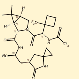 CC1(C)[C@@H]2[C@@H](C(=O)N[C@H](C#N)C[C@@H]3CC4(CC4)NC3=O)N(C(=O)[C@@H](NC(=O)C(F)(F)F)C3(C(F)(F)F)CCC3)C[C@@H]21